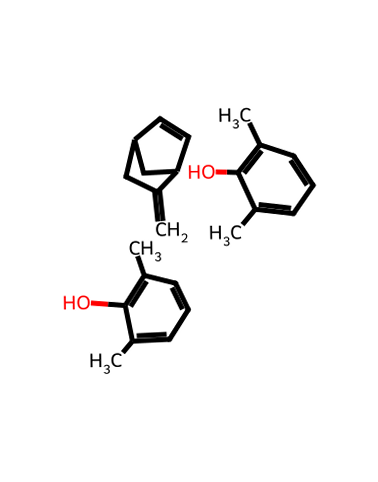 C=C1CC2C=CC1C2.Cc1cccc(C)c1O.Cc1cccc(C)c1O